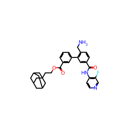 NCc1ccc(C(=O)Nc2ccncc2F)cc1-c1cccc(C(=O)OCCC23CC4CC(CC(C4)C2)C3)c1